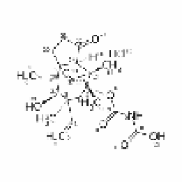 C=C[C@]1(C)C[C@@H](OC(=O)NC(=O)O)[C@]2(C)[C@H](C)CC[C@]3(CCC(=O)[C@H]32)[C@@H](C)[C@@H]1O.Cl